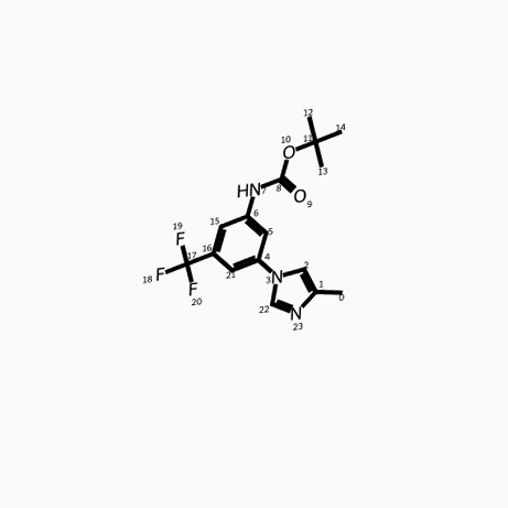 Cc1cn(-c2cc(NC(=O)OC(C)(C)C)cc(C(F)(F)F)c2)cn1